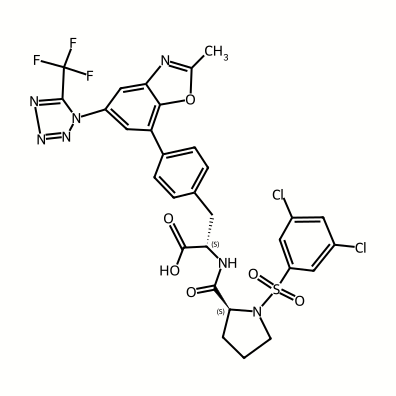 Cc1nc2cc(-n3nnnc3C(F)(F)F)cc(-c3ccc(C[C@H](NC(=O)[C@@H]4CCCN4S(=O)(=O)c4cc(Cl)cc(Cl)c4)C(=O)O)cc3)c2o1